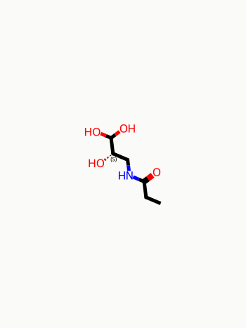 CCC(=O)NC[C@H](O)C(O)O